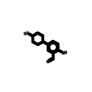 O=Cc1cc(C2CCC(O)CC2)ccc1O